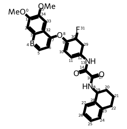 COc1cc2bccc(OC3=CC=C(NC(=O)C(=O)NC4CCCc5ccccc54)CC3F)c2cc1OC